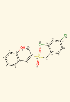 N#CC(=Cc1ccccc1O)S(=O)(=O)Cc1ccc(Cl)cc1Cl